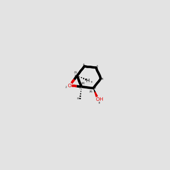 C[C@]12O[C@H]1CCC[C@H]2O